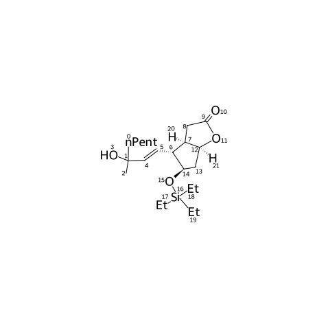 CCCCCC(C)(O)/C=C/[C@@H]1[C@H]2CC(=O)O[C@H]2C[C@H]1O[Si](CC)(CC)CC